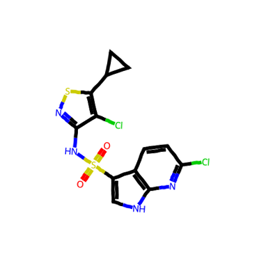 O=S(=O)(Nc1nsc(C2CC2)c1Cl)c1c[nH]c2nc(Cl)ccc12